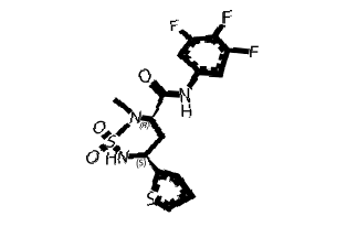 CN1[C@@H](C(=O)Nc2cc(F)c(F)c(F)c2)C[C@@H](c2cccs2)NS1(=O)=O